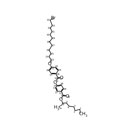 CCCCCCC(C)OC(=O)c1ccc(OC(=O)c2ccc(OCCCCCCCCCCCCBr)cc2)cc1